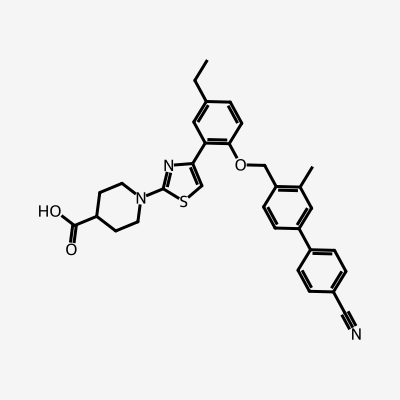 CCc1ccc(OCc2ccc(-c3ccc(C#N)cc3)cc2C)c(-c2csc(N3CCC(C(=O)O)CC3)n2)c1